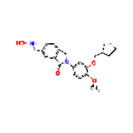 COc1ccc(N2Cc3ccc(CNO)cc3C2=O)cc1OCC1CCCC1